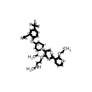 CCOc1ncccc1-c1ccc(N2CCC(Oc3ccc(C(F)(F)F)cc3C#N)C[C@H]2CC)c(OCCNC)n1